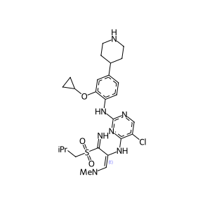 CN/C=C(/Nc1nc(Nc2ccc(C3CCNCC3)cc2OC2CC2)ncc1Cl)C(=N)S(=O)(=O)CC(C)C